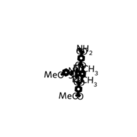 CCC(C)(OC(=O)C1CCC(C(=O)OC)CC1)c1ccc(C(C)(CC)OC(=O)C2CCC(C(=O)ON)CC2)c2c1C(=O)N(c1nc3ccc(OC)cc3s1)C2=O